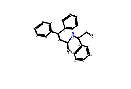 CCC(NC(C)CC(c1ccccc1)c1ccccc1)c1ccccc1